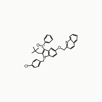 CC(C)(C)Cc1c([S+]([O-])c2ccccc2)c2cc(OCc3ccc4ccccc4n3)ccc2n1Cc1ccc(Cl)cc1